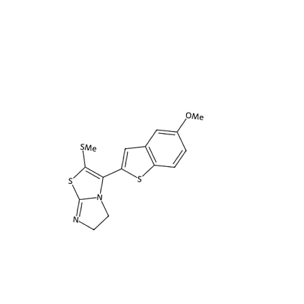 COc1ccc2sc(C3=C(SC)SC4=NCCN43)cc2c1